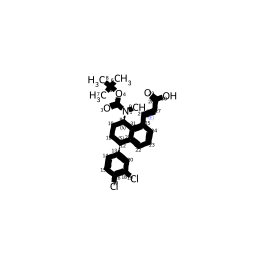 CN(C(=O)OC(C)(C)C)[C@H]1CC[C@@H](c2ccc(Cl)c(Cl)c2)c2cccc(/C=C/C(=O)O)c21